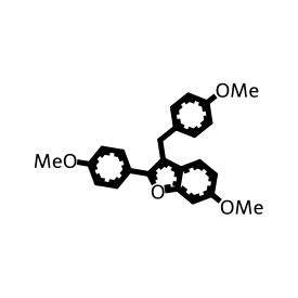 COc1ccc(Cc2c(-c3ccc(OC)cc3)oc3cc(OC)ccc23)cc1